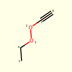 C#COOCC